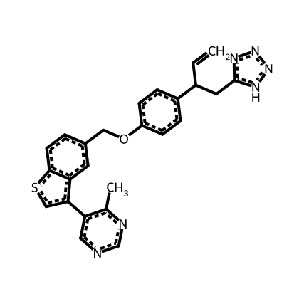 C=CC(Cc1nnn[nH]1)c1ccc(OCc2ccc3scc(-c4cncnc4C)c3c2)cc1